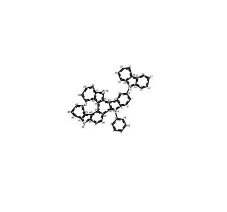 c1ccc(-n2c3ccc(-n4c5ccccc5c5ccccc54)cc3c3c4sc5ccccc5c4c4c(ccc5sc6ccccc6c54)c32)cc1